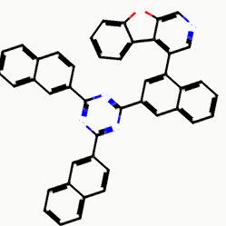 c1ccc2cc(-c3nc(-c4ccc5ccccc5c4)nc(-c4cc(-c5cncc6oc7ccccc7c56)c5ccccc5c4)n3)ccc2c1